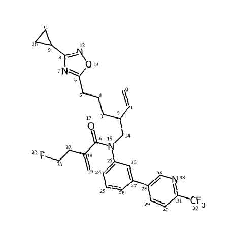 C=CC(CCCc1nc(C2CC2)no1)CN(C(=O)C(=C)CCF)c1cccc(-c2ccc(C(F)(F)F)nc2)c1